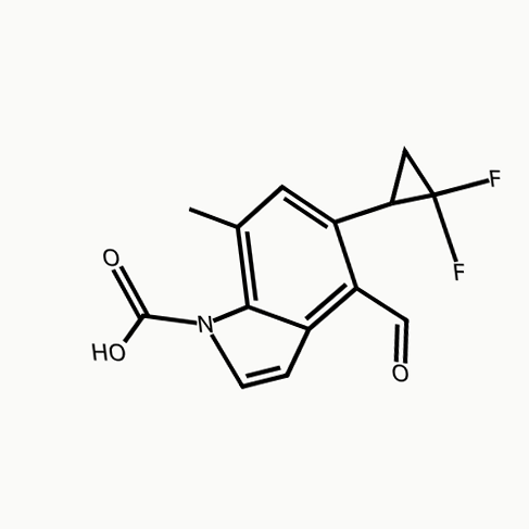 Cc1cc(C2CC2(F)F)c(C=O)c2ccn(C(=O)O)c12